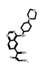 N=C(/C(F)=C\N)c1ccc2ncnc(NC3CCC(N4CCOCC4)CC3)c2c1